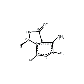 Cc1cc(F)c(N)c2c1[C@@H](C)NC2=O